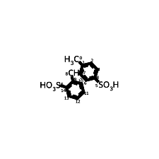 Cc1ccc(S(=O)(=O)O)cc1.Cc1ccccc1S(=O)(=O)O